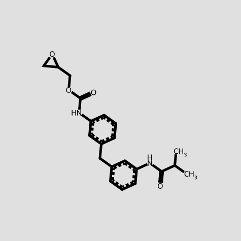 CC(C)C(=O)Nc1cccc(Cc2cccc(NC(=O)OCC3CO3)c2)c1